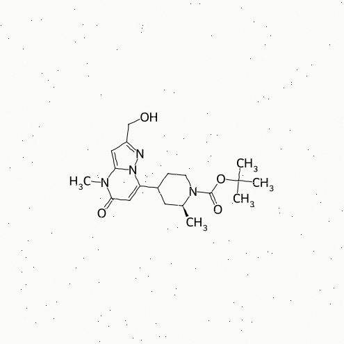 C[C@H]1CC(c2cc(=O)n(C)c3cc(CO)nn23)CCN1C(=O)OC(C)(C)C